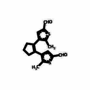 Cc1sc(C=O)cc1C1=C(c2cc(C=O)sc2C)CCC1